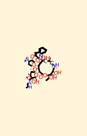 CCCNC[C@]1(O)[C@H](C)O[C@@H](O[C@H]2[C@H](C)[C@@H](O[C@@H]3O[C@H](C)C[C@H](N(C)C)[C@H]3Oc3cnc4ccccc4c3)[C@](C)(O)C[C@@H](C)CN[C@H](C)[C@@H](O)[C@](C)(O)[C@@H](CC)OC(=O)[C@@H]2C)C[C@@]1(C)OC